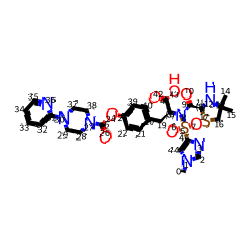 Cn1cnc(S(=O)(=O)N(C(=O)[C@H]2NC(C)(C)CS2)[C@@H](Cc2ccc(OC(=O)N3CCN(c4ccccn4)CC3)cc2)C(=O)O)c1